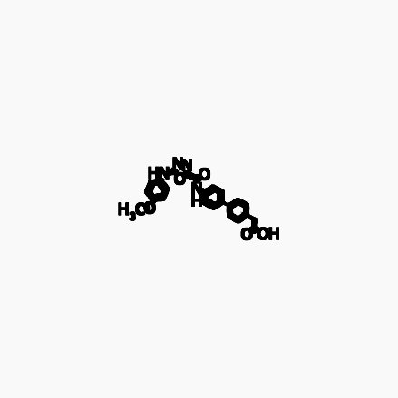 COc1ccc(Nc2nnc(C(=O)Nc3ccc([C@H]4CC[C@H](CC(=O)O)CC4)cc3)o2)cc1